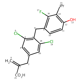 C=C(Cc1cc(Cl)c(Cc2ccc(O)c(C(C)C)c2F)c(Cl)c1)C(=O)O